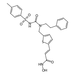 Cc1ccc(S(=O)(=O)NC(=O)N(CCc2ccccc2)Cc2ccc(/C=C/C(=O)NO)s2)cc1